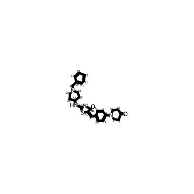 O=C1CCN(c2ccc(C=C3SC(NC4CCN(Cc5ccccc5)CC4)=NC3=O)cc2)CC1